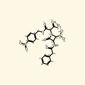 C=C(C)C(C(=O)OCc1ccc([N+](=O)[O-])cc1)N1C(=O)C(NC(=O)Cc2ccccc2)C1[S+]([O-])Cl